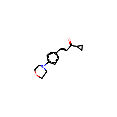 O=C(/C=C/c1ccc(N2CCOCC2)cc1)C1CC1